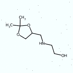 CC1(C)OCC(CNCCO)O1